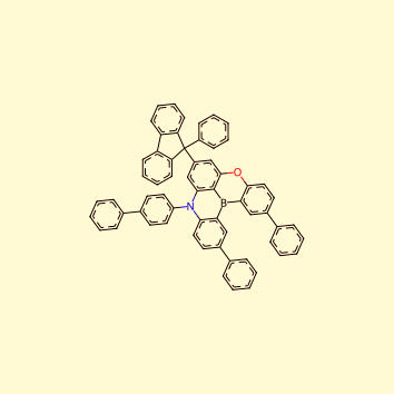 c1ccc(-c2ccc(N3c4ccc(-c5ccccc5)cc4B4c5cc(-c6ccccc6)ccc5Oc5cc(C6(c7ccccc7)c7ccccc7-c7ccccc76)cc3c54)cc2)cc1